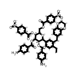 CCc1ccc(C2OC(COC(=O)c3ccc([N+](=O)[O-])cc3)[C@@H](OC(=O)c3ccc([N+](=O)[O-])cc3)C(OC(=O)c3ccc(N)cc3)[C@H]2OC(=O)c2ccc(N)cc2)cc1Cc1ccc2c(c1)OCCO2